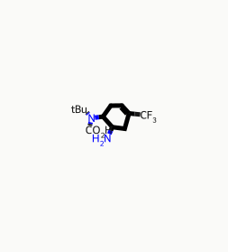 CC(C)(C)N(C(=O)O)C1CC=C(C(F)(F)F)CC1N